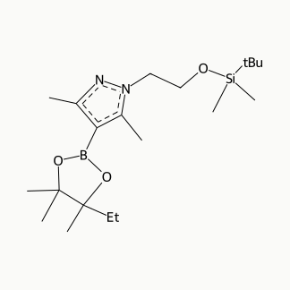 CCC1(C)OB(c2c(C)nn(CCO[Si](C)(C)C(C)(C)C)c2C)OC1(C)C